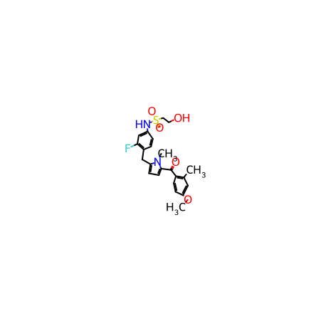 COc1ccc(C(=O)c2ccc(Cc3ccc(NS(=O)(=O)CCO)cc3F)n2C)c(C)c1